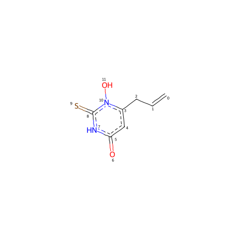 C=CCc1cc(=O)[nH]c(=S)n1O